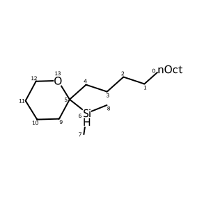 CCCCCCCCCCCCC1([SiH](C)C)CCCCO1